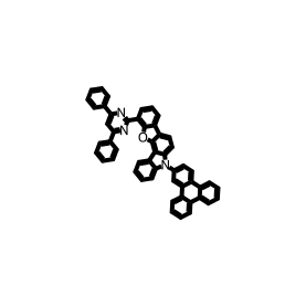 c1ccc(-c2cc(-c3ccccc3)nc(-c3cccc4c3oc3c4ccc4c3c3ccccc3n4-c3ccc4c5ccccc5c5ccccc5c4c3)n2)cc1